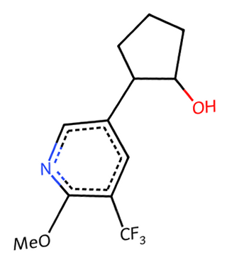 COc1ncc(C2CCCC2O)cc1C(F)(F)F